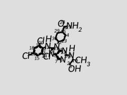 C[C@@H](CO)Nc1ncc2nc(Nc3c(Cl)cc(Cl)cc3Cl)n(C3CCC(C(N)=O)CC3)c2n1